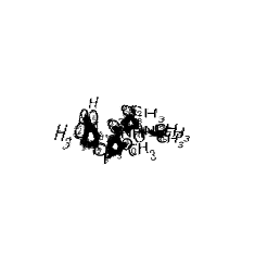 COc1cc(F)c(O[C@H]2CC[C@@](C)(C(=O)O)CC2)cc1C(=O)NC1C[C@H](OC)C[C@H]1C(=O)NCC(C)(C)C